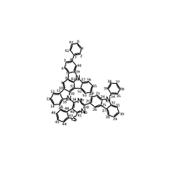 c1ccc(-c2ccc3c4cc5c6ccccc6n(-c6nc(-c7ccc8c(c7)c7ccccc7n8-c7ccccc7)nc7sc8ccccc8c67)c5c5c6ccccc6n(c3c2)c45)cc1